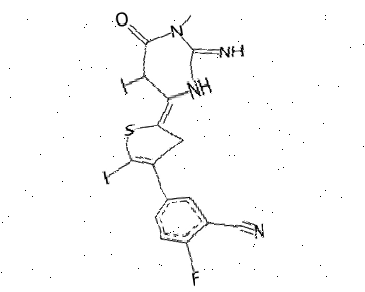 CN1C(=N)N/C(=C2\CC(c3ccc(F)c(C#N)c3)=C(I)S2)C(I)C1=O